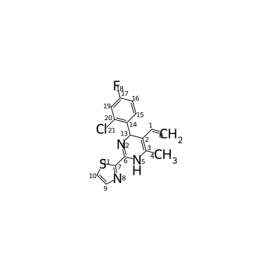 C=CC1=C(C)NC(c2nccs2)=NC1c1ccc(F)cc1Cl